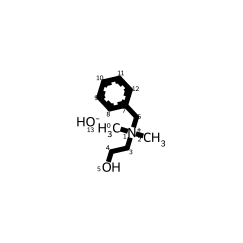 C[N+](C)(CCO)Cc1ccccc1.[OH-]